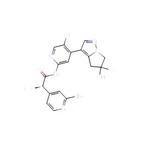 C[C@@H](C(=O)Nc1cc(-c2cnn3c2CC(C)(C)C3)c(Cl)cn1)c1ccnc(C(C)(C)C)c1